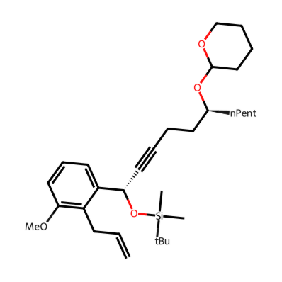 C=CCc1c(OC)cccc1[C@H](C#CCC[C@H](CCCCC)OC1CCCCO1)O[Si](C)(C)C(C)(C)C